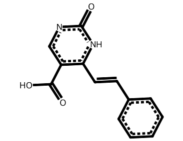 O=C(O)c1cnc(=O)[nH]c1/C=C/c1ccccc1